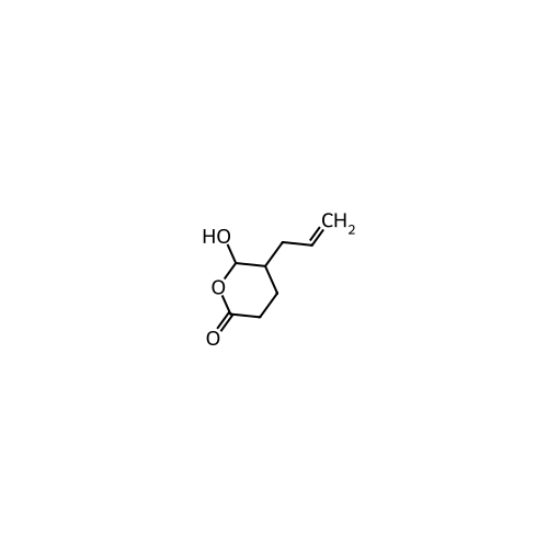 C=CCC1CCC(=O)OC1O